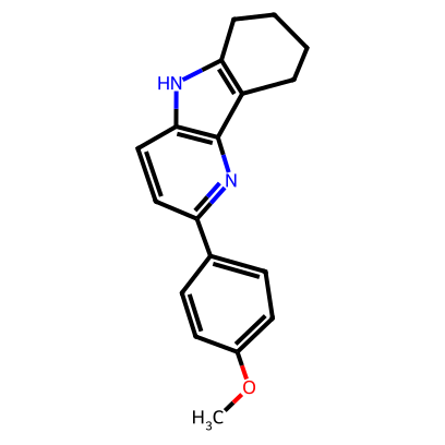 COc1ccc(-c2ccc3[nH]c4c(c3n2)CCCC4)cc1